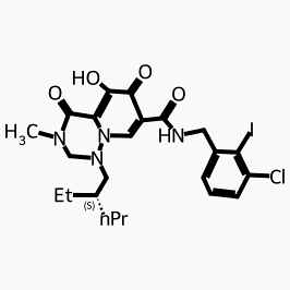 CCC[C@H](CC)CN1CN(C)C(=O)c2c(O)c(=O)c(C(=O)NCc3cccc(Cl)c3I)cn21